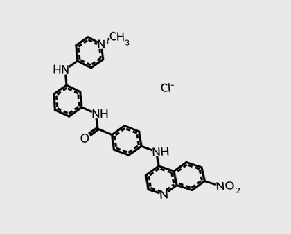 C[n+]1ccc(Nc2cccc(NC(=O)c3ccc(Nc4ccnc5cc([N+](=O)[O-])ccc45)cc3)c2)cc1.[Cl-]